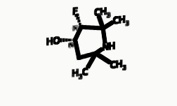 CC1(C)C[C@H](O)[C@H](F)C(C)(C)N1